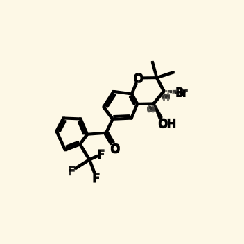 CC1(C)Oc2ccc(C(=O)c3ccccc3C(F)(F)F)cc2[C@H](O)[C@H]1Br